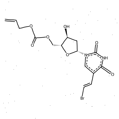 C=CCOC(=O)OC[C@H]1O[C@@H](n2cc(/C=C/Br)c(=O)[nH]c2=O)C[C@@H]1O